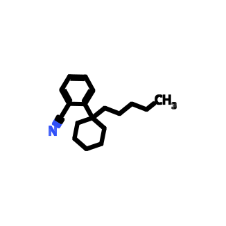 CCCCCC1(c2ccccc2C#N)CCCCC1